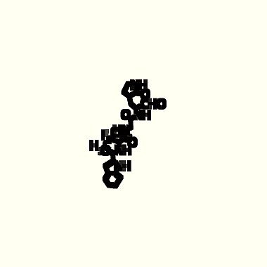 CC(C)(F)C(NC(=O)c1cc2ccccc2[nH]1)C(=O)NCC(=O)NC(C=O)CC1CCNC1=O